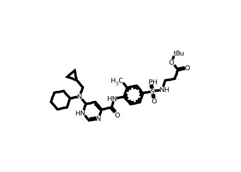 Cc1cc(S(=O)(=P)NCCC(=O)OC(C)(C)C)ccc1NC(=O)C1=CC(N(CC2CC2)C2CCCCC2)NC=N1